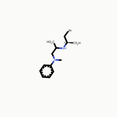 CC(C)C[C@H](NC(CN(C)c1ccccc1)C(=O)O)C(=O)O